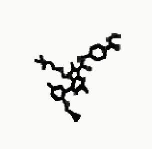 Cc1ccc(OCC2CC2)c(-c2nc(C)nc3c(C(=O)NC4CCN(C(=O)OC(C)(C)C)CC4)c(C)n(COCC[Si](C)(C)C)c23)c1